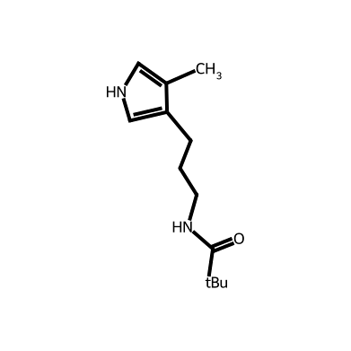 Cc1c[nH]cc1CCCNC(=O)C(C)(C)C